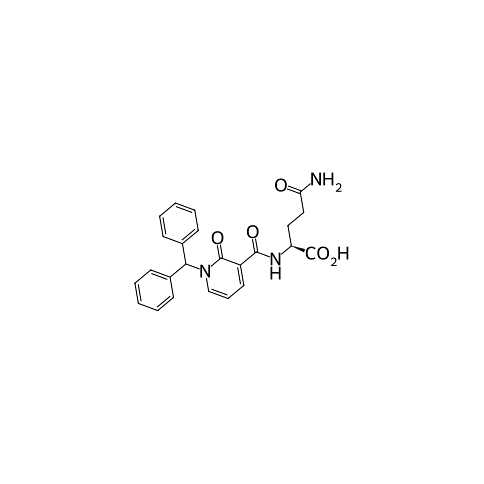 NC(=O)CC[C@H](NC(=O)c1cccn(C(c2ccccc2)c2ccccc2)c1=O)C(=O)O